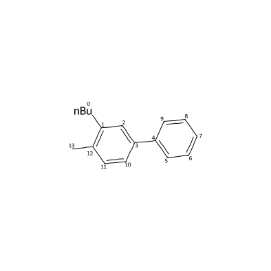 CCCCc1cc(-c2ccccc2)ccc1C